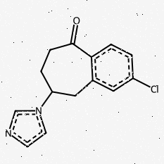 O=C1CCC(n2ccnc2)Cc2cc(Cl)ccc21